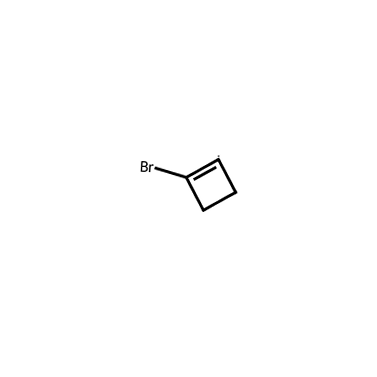 BrC1=[C]CC1